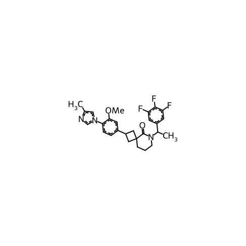 COc1cc(C2CC3(CCCN(C(C)c4cc(F)c(F)c(F)c4)C3=O)C2)ccc1-n1cnc(C)c1